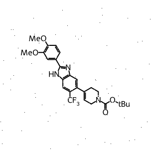 COc1ccc(-c2nc3cc(C4=CCN(C(=O)OC(C)(C)C)CC4)c(C(F)(F)F)cc3[nH]2)cc1OC